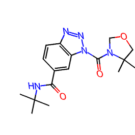 CC(C)(C)NC(=O)c1ccc2nnn(C(=O)N3COCC3(C)C)c2c1